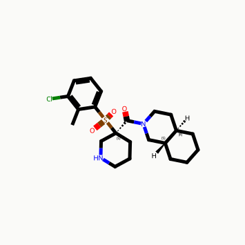 Cc1c(Cl)cccc1S(=O)(=O)[C@@]1(C(=O)N2CC[C@H]3CCCC[C@@H]3C2)CCCNC1